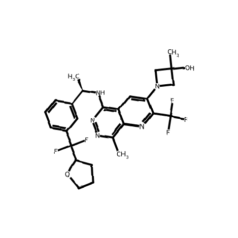 Cc1nnc(N[C@H](C)c2cccc(C(F)(F)C3CCCO3)c2)c2cc(N3CC(C)(O)C3)c(C(F)(F)F)nc12